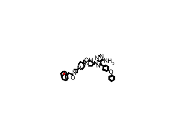 Nc1ncnc2c1c(-c1ccc(Oc3ccccc3)cc1)nn2C1CCN(C2(CO)CCN(C3CN(C(=O)CC45CC6CC(CC(C6)C4)C5)C3)CC2)CC1